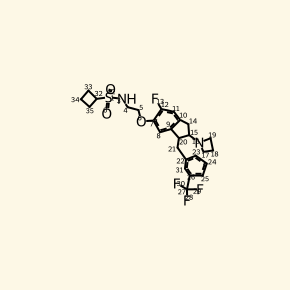 O=S(=O)(NCCOc1cc2c(cc1F)CC(N1CCC1)C2Cc1cccc(C(F)(F)F)c1)C1CCC1